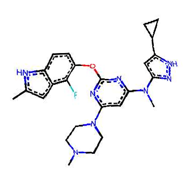 Cc1cc2c(F)c(Oc3nc(N4CCN(C)CC4)cc(N(C)c4cc(C5CC5)[nH]n4)n3)ccc2[nH]1